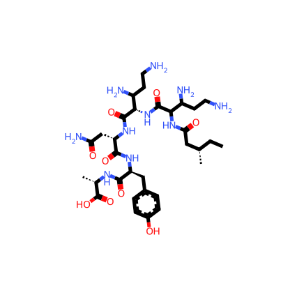 CC[C@H](C)CC(=O)NC(C(=O)N[C@H](C(=O)N[C@@H](CC(N)=O)C(=O)N[C@@H](Cc1ccc(O)cc1)C(=O)N[C@@H](C)C(=O)O)C(N)CCN)C(N)CCN